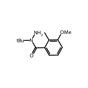 COc1cccc(C(=O)N(N)C(C)(C)C)c1C